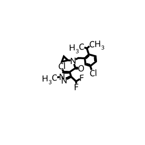 CC(C)c1ccc(Cl)cc1CN(C(=O)c1c(C(F)F)nn(C)c1Cl)C1CC1